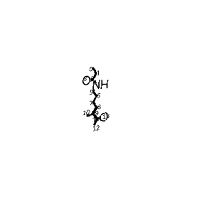 CCC(=O)NCCC/C=C(\C)C(C)=O